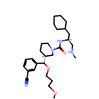 CNC[C@H](CC1CCCCC1)NC(=O)N1CCC[C@@H](C(OCCCOC)c2cccc(C#N)c2)C1